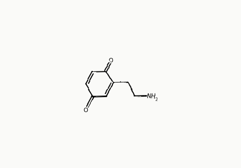 NCCC1=CC(=O)C=CC1=O